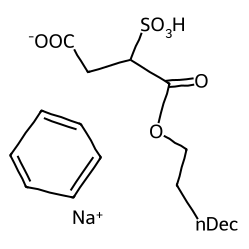 CCCCCCCCCCCCOC(=O)C(CC(=O)[O-])S(=O)(=O)O.[Na+].c1ccccc1